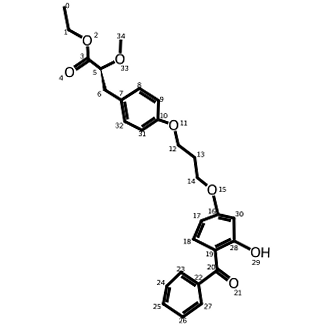 CCOC(=O)[C@H](Cc1ccc(OCCCOc2ccc(C(=O)c3ccccc3)c(O)c2)cc1)OC